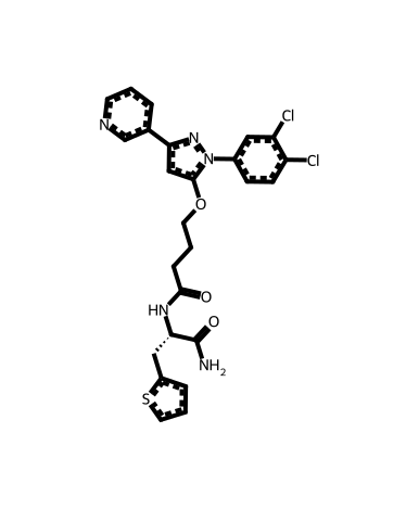 NC(=O)[C@H](Cc1cccs1)NC(=O)CCCOc1cc(-c2cccnc2)nn1-c1ccc(Cl)c(Cl)c1